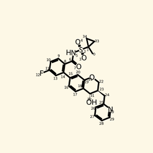 CC1(S(=O)(=O)NC(=O)c2ccc(F)cc2-c2ccc3c(c2)OC[C@@H](Cc2ccccn2)[C@@H]3O)CC1